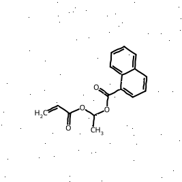 C=CC(=O)OC(C)OC(=O)c1cccc2ccccc12